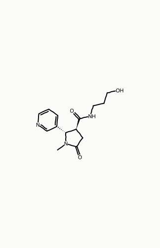 CN1C(=O)C[C@H](C(=O)NCCCO)[C@H]1c1cccnc1